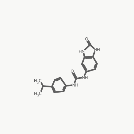 CC(C)c1ccc(NC(=O)Nc2ccc3[nH]c(=O)[nH]c3c2)cc1